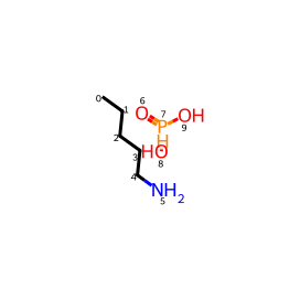 CCCCCN.O=[PH](O)O